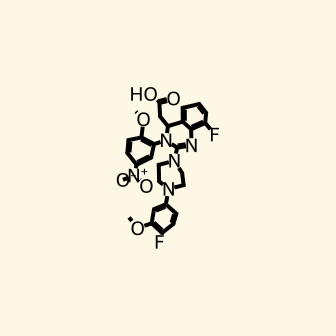 COc1cc(N2CCN(C3=Nc4c(F)cccc4C(CC(=O)O)N3c3cc([N+](=O)[O-])ccc3OC)CC2)ccc1F